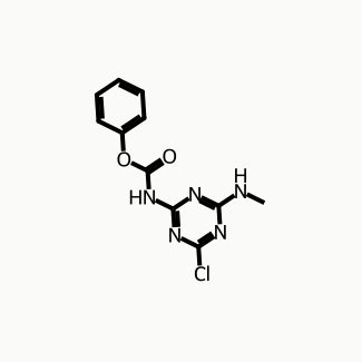 CNc1nc(Cl)nc(NC(=O)Oc2ccccc2)n1